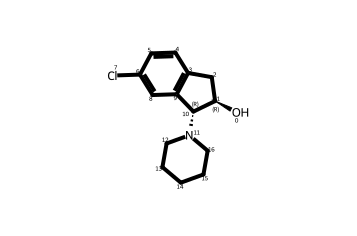 O[C@@H]1Cc2ccc(Cl)cc2[C@H]1N1CCCCC1